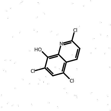 Oc1c(Cl)cc(Cl)c2ccc(Cl)nc12